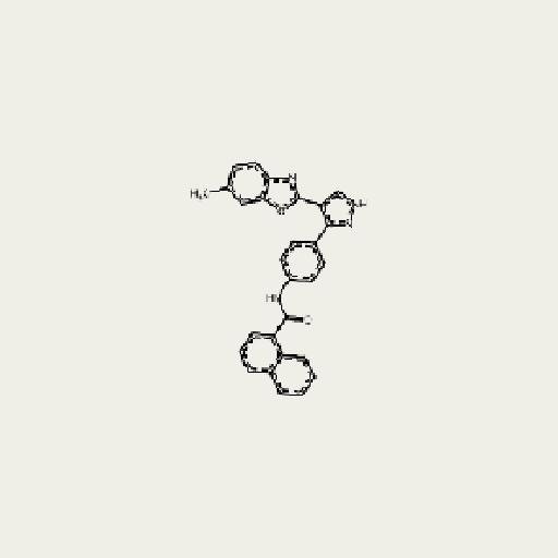 Cc1ccc2nc(-c3c[nH]nc3-c3ccc(NC(=O)c4cccc5ccccc45)cc3)oc2c1